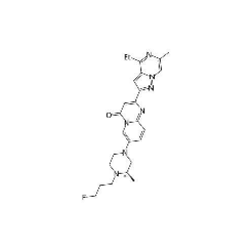 CCc1nc(C)cn2nc(-c3cc(=O)n4cc(N5CCN(CCCF)[C@H](C)C5)ccc4n3)cc12